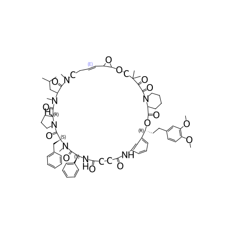 COc1ccc(CC[C@H]2OC(=O)C3CCCCN3C(=O)C(=O)C(C)(C)COC3OC3/C=C/CCN(C)C(=O)C(CC(C)C)N(C)C(=O)[C@H]3CCCN3C(=O)[C@H](Cc3ccccc3)N(C)C(=O)[C@H](c3ccccc3)NC(=O)CCC(=O)Nc3cccc2c3)cc1OC